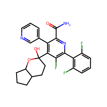 NC(=O)c1nc(-c2c(F)cccc2F)c(F)c(C2(O)CCC3CCCC3O2)c1-c1cccnc1